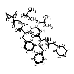 CC(C)C[C@@H](CN[C@@H](Cc1ccccc1)C(=O)N[C@@H](CC(C)C)C(=O)[C@@]1(C)CO1)NC(=O)[C@H](CCc1ccccc1)NC(=O)CN1CCOCC1